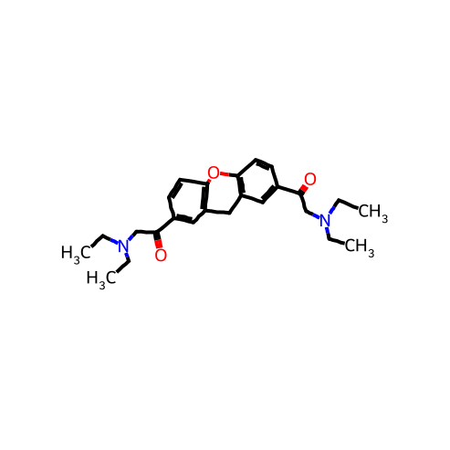 CCN(CC)CC(=O)c1ccc2c(c1)Cc1cc(C(=O)CN(CC)CC)ccc1O2